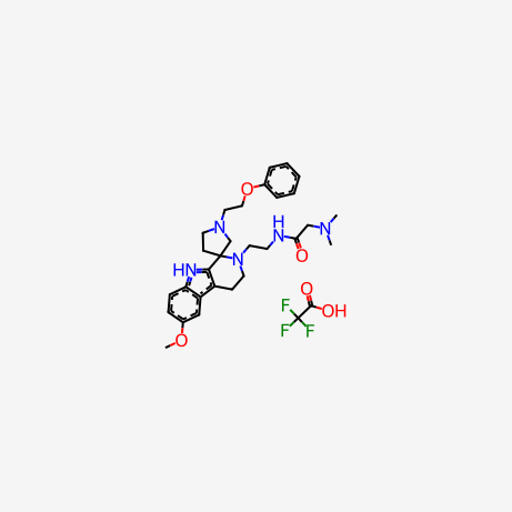 COc1ccc2[nH]c3c(c2c1)CCN(CCNC(=O)CN(C)C)C31CCN(CCOc2ccccc2)C1.O=C(O)C(F)(F)F